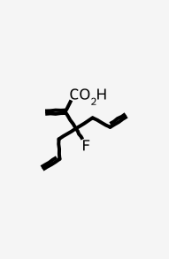 C=CCC(F)(CC=C)C(=C)C(=O)O